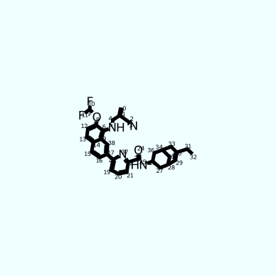 C=C(C#N)CNc1c(OC(F)F)ccc2ccc(-c3cccc(C(=O)NC4CC5C=C(CC)CC(C5)C4)n3)cc12